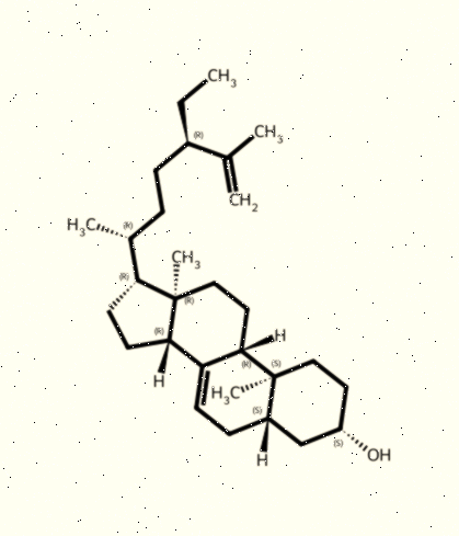 C=C(C)[C@H](CC)CC[C@@H](C)[C@H]1CC[C@H]2C3=CC[C@H]4C[C@@H](O)CC[C@]4(C)[C@H]3CC[C@]12C